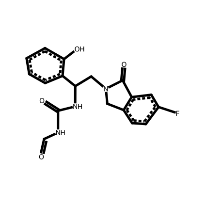 O=CNC(=O)NC(CN1Cc2ccc(F)cc2C1=O)c1ccccc1O